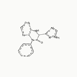 O=C1C(c2nc[nH]n2)Nc2nccnc2N1c1ccccc1